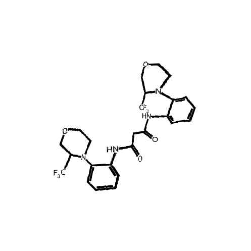 O=C(CC(=O)Nc1ccccc1N1CCOCC1C(F)(F)F)Nc1ccccc1N1CCOCC1C(F)(F)F